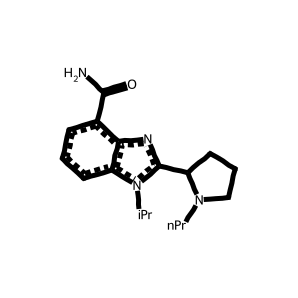 CCCN1CCCC1c1nc2c(C(N)=O)cccc2n1C(C)C